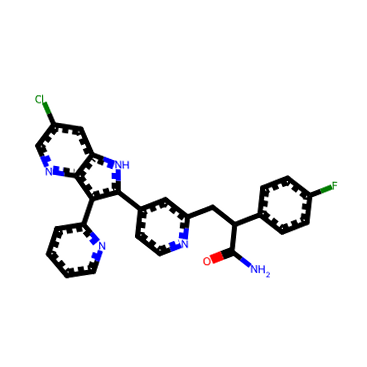 NC(=O)C(Cc1cc(-c2[nH]c3cc(Cl)cnc3c2-c2ccccn2)ccn1)c1ccc(F)cc1